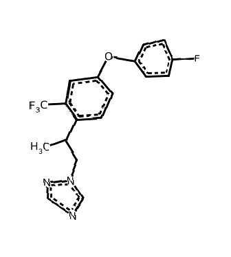 CC(Cn1cncn1)c1ccc(Oc2ccc(F)cc2)cc1C(F)(F)F